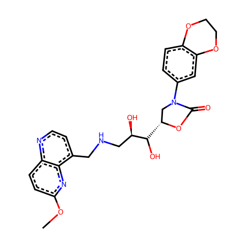 COc1ccc2nccc(CNC[C@@H](O)C(O)[C@@H]3CN(c4ccc5c(c4)OCCO5)C(=O)O3)c2n1